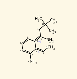 C/C=c1/c(N)ncc/c1=C(/N)CC(C)(C)C